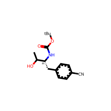 CC(O)[C@@H](Cc1ccc(C#N)cc1)NC(=O)OC(C)(C)C